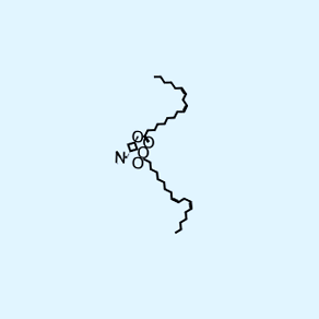 CCCCC/C=C\C/C=C\CCCCCCCC(=O)O[C@H]1[C@H](CN(C)C)C[C@H]1OC(=O)CCCCCCC/C=C\C/C=C\CCCCC